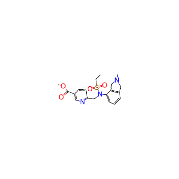 CCS(=O)(=O)N(Cc1ccc(C(=O)OC)cn1)c1cccc2c1CN(C)C2